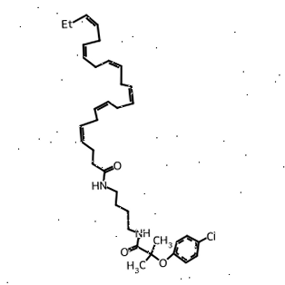 CC/C=C\C/C=C\C/C=C\C/C=C\C/C=C\C/C=C\CCC(=O)NCCCCNC(=O)C(C)(C)Oc1ccc(Cl)cc1